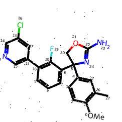 COc1ccc(C2(c3cccc(-c4cncc(Cl)c4)c3F)COC(N)=N2)cc1C